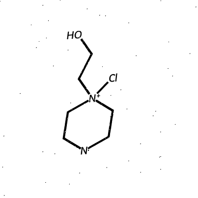 OCC[N+]1(Cl)CC[N]CC1